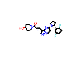 O=C(/C=C/c1cnn2ccc(N3CCC[C@@H]3c3cc(F)ccc3F)nc12)N1CCC(O)CC1